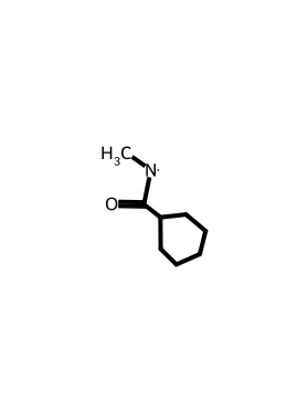 C[N]C(=O)C1CCCCC1